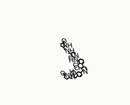 COc1cc(-c2nccc(-c3cccc(Nc4nccc(CNCC5CCC(=O)N5)c4F)c3Cl)c2Cl)ccc1CNCC1CCC(=O)N1